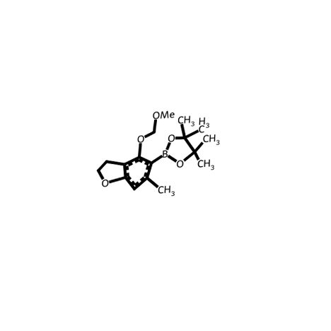 COCOc1c2c(cc(C)c1B1OC(C)(C)C(C)(C)O1)OCC2